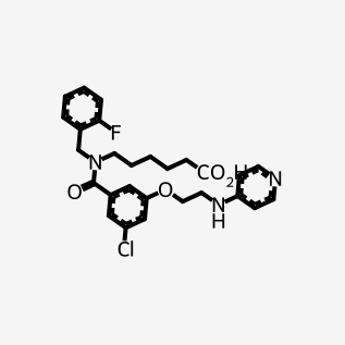 O=C(O)CCCCCN(Cc1ccccc1F)C(=O)c1cc(Cl)cc(OCCNc2ccncc2)c1